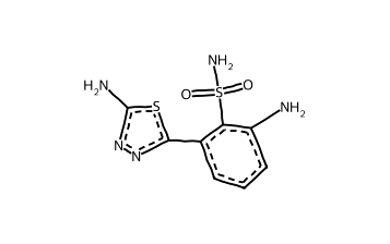 Nc1nnc(-c2cccc(N)c2S(N)(=O)=O)s1